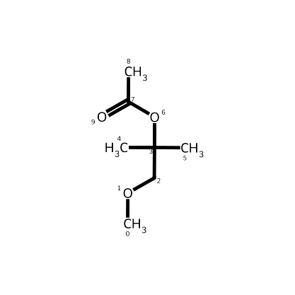 COCC(C)(C)OC(C)=O